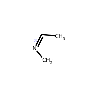 [CH2]/N=C\C